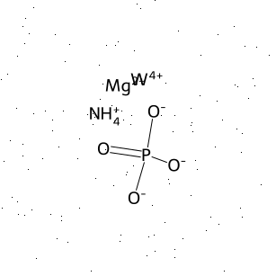 O=P([O-])([O-])[O-].[Mg+2].[NH4+].[W+4]